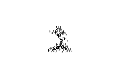 CC(N)COC(C)COCC(COCC(C)OCC(C)NC(c1ccc(C(=O)C(C)(C)O)cc1)c1ccc(C(=O)C(C)(C)O)cc1)OCC(C)N